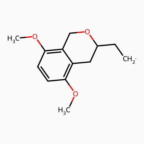 [CH2]CC1Cc2c(OC)ccc(OC)c2CO1